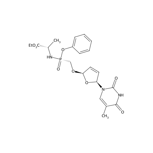 CCOC(=O)[C@H](C)N[P@@](=O)(CO[C@H]1C=C[C@@H](n2cc(C)c(=O)[nH]c2=O)O1)Oc1ccccc1